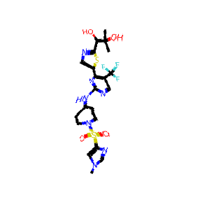 Cn1cnc(S(=O)(=O)N2CCC(Nc3ncc(C(F)(F)F)c(-c4cnc(C(O)C(C)(C)O)s4)n3)CC2)c1